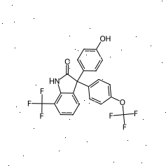 O=C1Nc2c(C(F)(F)F)cccc2C1(c1ccc(O)cc1)c1ccc(OC(F)(F)F)cc1